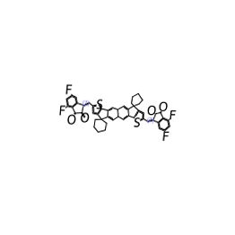 O=C1C(=O)c2c(F)cc(F)cc2/C1=C/c1cc2c(s1)C1=CC3C=C4C(=CC3C=C1C21CCCCC1)c1sc(/C=C2\C(=O)C(=O)c3c(F)cc(F)cc32)cc1C41CCCCC1